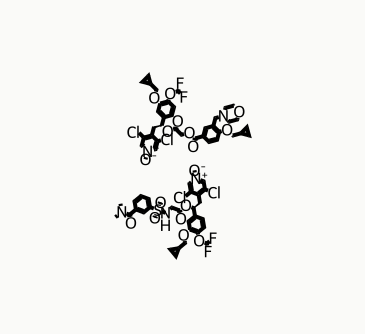 CN(C)C(=O)c1cccc(S(=O)(=O)NCC(=O)O[C@@H](Cc2c(Cl)c[n+]([O-])cc2Cl)c2ccc(OC(F)F)c(OCC3CC3)c2)c1.O=C(COC(=O)c1ccc(OCC2CC2)c(CN2CCOCC2)c1)O[C@@H](Cc1c(Cl)c[n+]([O-])cc1Cl)c1ccc(OC(F)F)c(OCC2CC2)c1